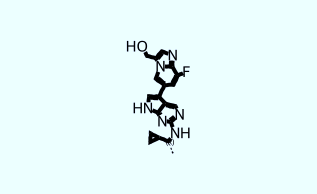 C[C@@H](Nc1ncc2c(-c3cc(F)c4ncc(CO)n4c3)c[nH]c2n1)C1CC1